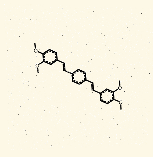 COc1ccc(/C=C/c2ccc(/C=C/c3ccc(OC)c(OC)c3)cc2)cc1OC